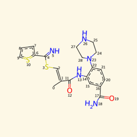 C/C(=C\SC(=N)c1cccs1)C(=O)Nc1cc(C(N)=O)ccc1N1CCNCC1